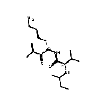 CCC(C)N[C@H](C(=O)N[C@@H](CCCCN)C(=O)C(C)C)C(C)C